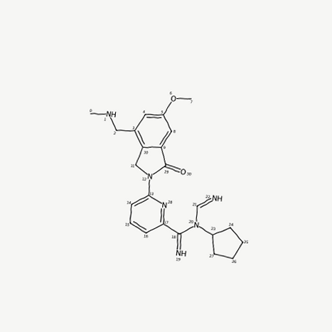 CNCc1cc(OC)cc2c1CN(c1cccc(C(=N)N(C=N)C3CCCC3)n1)C2=O